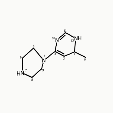 CC1C=C(N2CCNCC2)N=CN1